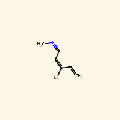 C=C/C(=C\C=N/C)CC